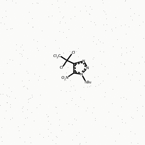 CCCCn1nnc(C(Cl)(Cl)C(Cl)(Cl)Cl)c1[N+](=O)[O-]